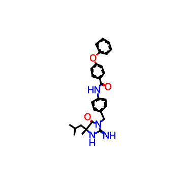 CC(C)CC1(C)NC(=N)N(Cc2ccc(NC(=O)c3ccc(Oc4ccccc4)cc3)cc2)C1=O